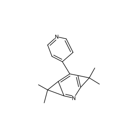 CC1(C)c2nc3c(c(-c4ccncc4)c21)C3(C)C